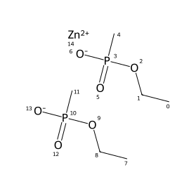 CCOP(C)(=O)[O-].CCOP(C)(=O)[O-].[Zn+2]